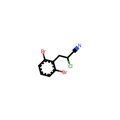 N#CC(Cl)Cc1c(Br)cccc1Br